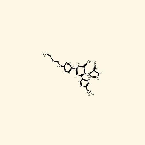 CCCCOc1ccc(-c2cc(-c3ccc(C)cc3)c(N3N=NCC3=O)c(=O)[nH]2)cc1